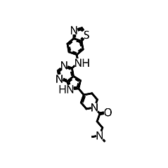 CN(C)CCC(=O)N1CC=C(c2cc3c(Nc4ccc5ncsc5c4)ncnc3[nH]2)CC1